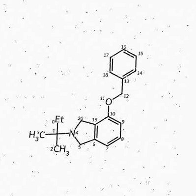 CCC(C)(C)N1Cc2cccc(OCc3ccccc3)c2C1